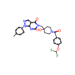 Cc1ccc(-n2ncc3c(=O)n(CC4(O)CCN(C(=O)c5ccc(OC(F)F)cc5)CC4)cnc32)cc1